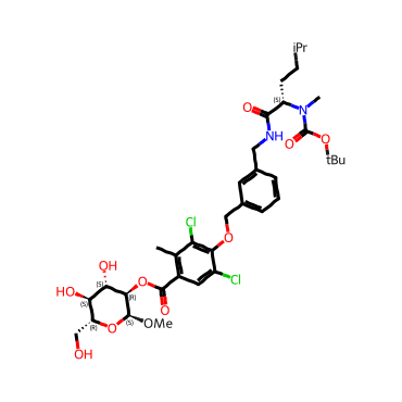 CO[C@H]1O[C@H](CO)[C@@H](O)[C@H](O)[C@H]1OC(=O)c1cc(Cl)c(OCc2cccc(CNC(=O)[C@H](CCC(C)C)N(C)C(=O)OC(C)(C)C)c2)c(Cl)c1C